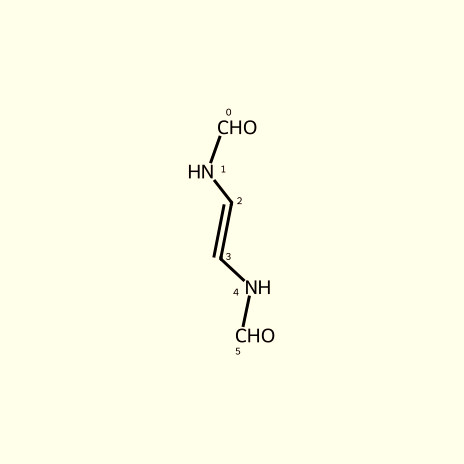 O=CN/C=C/NC=O